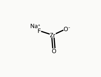 [Na+].[O]=[Zr]([O-])[F]